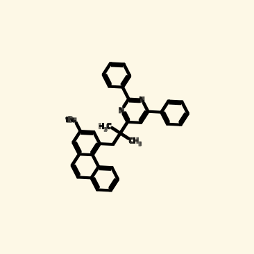 CC(C)(C)c1cc(CC(C)(C)c2cc(-c3ccccc3)nc(-c3ccccc3)n2)c2c(ccc3ccccc32)c1